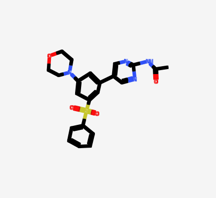 CC(=O)Nc1ncc(-c2cc(N3CCOCC3)cc(S(=O)(=O)c3ccccc3)c2)cn1